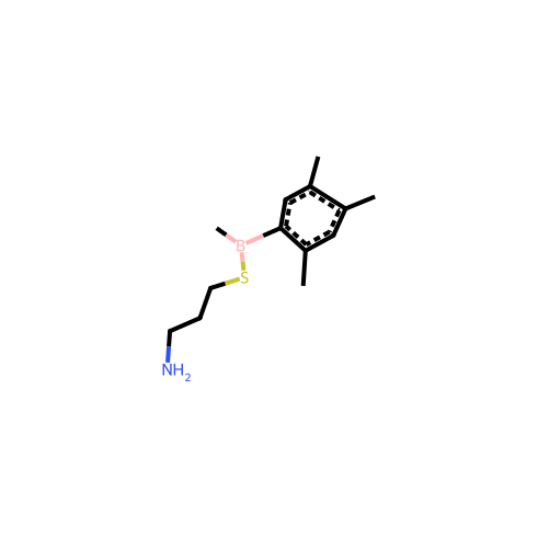 CB(SCCCN)c1cc(C)c(C)cc1C